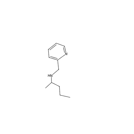 CCCC(C)NCc1ccccn1